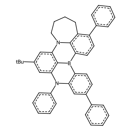 CC(C)(C)c1cc2c3c(c1)N(c1ccccc1)c1cc(-c4ccccc4)ccc1B3c1ccc(-c3ccccc3)c3c1N2CCCC3